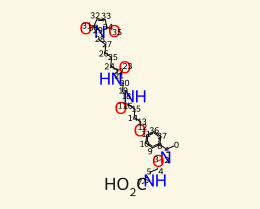 C/C(=N/OCCNC(=O)O)c1ccc(OCCCC(=O)NCCNC(=O)CCCCCN2C(=O)C=CC2=O)cc1